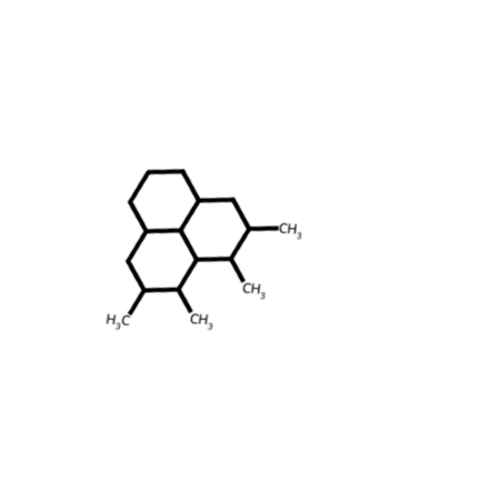 CC1CC2CCCC3CC(C)C(C)C(C1C)C23